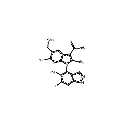 COCc1cc2c(C(N)=O)c(N)n(-c3c(C)c(F)cc4[nH]ncc34)c2nc1C